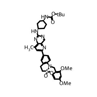 COc1ccc(CN2c3ccc(-c4cc(C)c5nc(N[C@H]6CC[C@H](NC(=O)OC(C)(C)C)CC6)ncc5n4)cc3CCS2(=O)=O)c(OC)c1